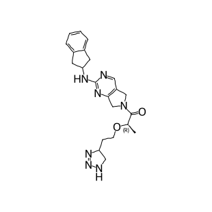 C[C@@H](OCCC1CNN=N1)C(=O)N1Cc2cnc(NC3Cc4ccccc4C3)nc2C1